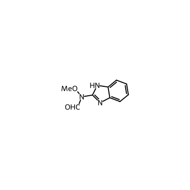 CON(C=O)c1nc2ccccc2[nH]1